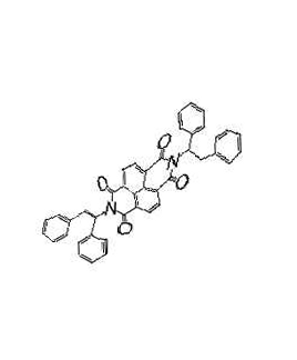 O=C1c2ccc3c4c(ccc(c24)C(=O)N1C(Cc1ccccc1)c1ccccc1)C(=O)N(C(Cc1ccccc1)c1ccccc1)C3=O